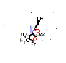 C#CCCC(=O)NC1C(OC(C)=O)OC(CC)C(C)C1C